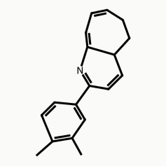 Cc1ccc(C2=NC3=CC=CCCC3C=C2)cc1C